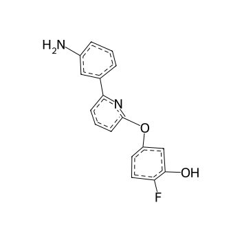 Nc1cccc(-c2cccc(Oc3ccc(F)c(O)c3)n2)c1